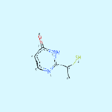 CC(S)c1nccc(=O)[nH]1